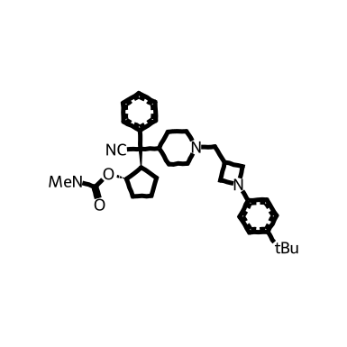 CNC(=O)O[C@H]1CCC[C@@H]1C(C#N)(c1ccccc1)C1CCN(CC2CN(c3ccc(C(C)(C)C)cc3)C2)CC1